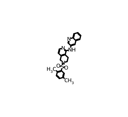 Cc1ccc(C)c(S(=O)(=O)N2CCc3c(ccnc3Nc3cnc4ccccc4c3)C2)c1